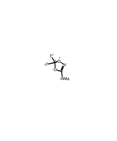 CNC1=NOC(F)(F)O1